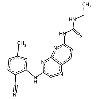 CCNC(=S)Nc1ccc2ncc(Nc3cc(C)ccc3C#N)nc2n1